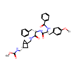 CCOc1ccc(C[C@@H](NC(=O)c2ccccc2)C(=O)N[C@@H](Cc2ccccc2)C(=O)NCC23CC2[C@@H](CNC(=O)OC(C)(C)C)C3)cc1